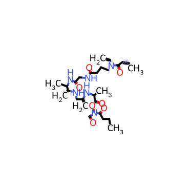 C=CN(CCCC(=O)NCC(=O)NC(C)C(=C)NCC(=C)NC(C)C(=O)ON(C=O)C(=O)CCC)C(=O)/C=C\C